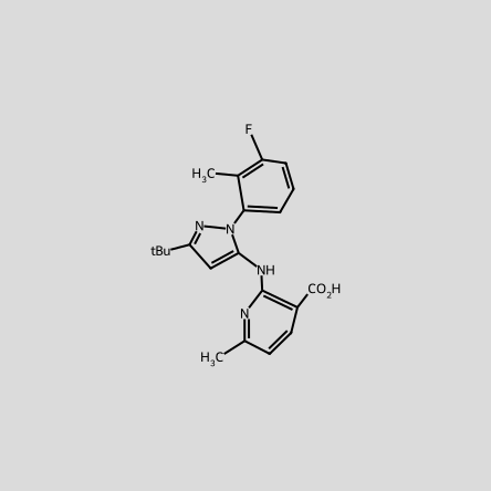 Cc1ccc(C(=O)O)c(Nc2cc(C(C)(C)C)nn2-c2cccc(F)c2C)n1